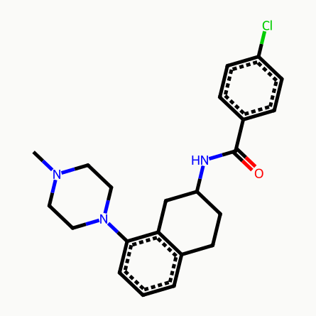 CN1CCN(c2cccc3c2CC(NC(=O)c2ccc(Cl)cc2)CC3)CC1